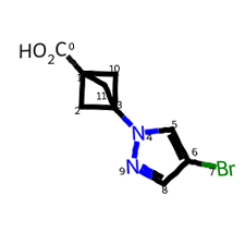 O=C(O)C12CC(n3cc(Br)cn3)(C1)C2